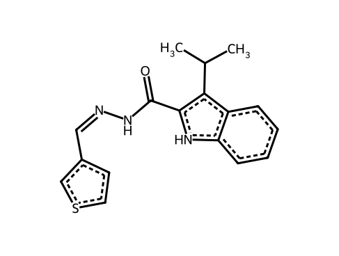 CC(C)c1c(C(=O)N/N=C\c2ccsc2)[nH]c2ccccc12